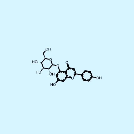 O=c1cc(-c2ccc(O)cc2)oc2cc(O)cc(OC3O[C@H](CO)[C@@H](O)[C@H](O)[C@H]3O)c12